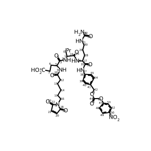 CC(C)C(NC(=O)C(CCC(=O)O)NC(=O)CCCCCN1C(=O)C=CC1=O)C(=O)NC(CCCNC(N)=O)C(=O)Nc1ccc(COC(=O)Oc2ccc([N+](=O)[O-])cc2)cc1